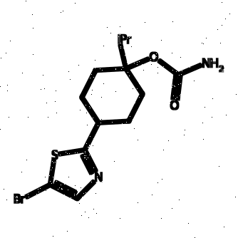 CC(C)C1(OC(N)=O)CCC(c2ncc(Br)s2)CC1